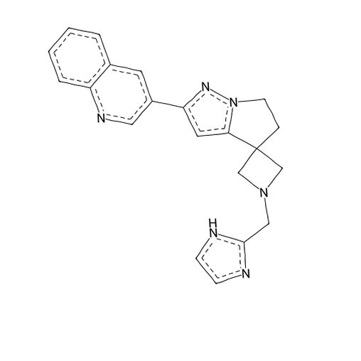 c1ccc2ncc(-c3cc4n(n3)CCC43CN(Cc4ncc[nH]4)C3)cc2c1